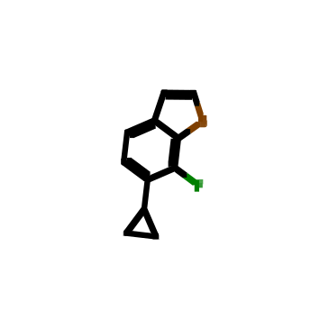 Fc1c(C2CC2)ccc2ccsc12